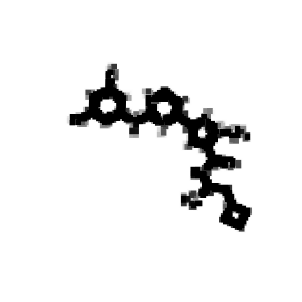 CC(CN1CCC1)NC(=O)c1cc(-c2ccnc(Nc3cc(Cl)cc(Cl)c3)n2)nn1C